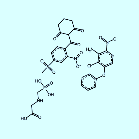 CS(=O)(=O)c1ccc(C(=O)C2C(=O)CCCC2=O)c([N+](=O)[O-])c1.Nc1c([N+](=O)[O-])ccc(Oc2ccccc2)c1Cl.O=C(O)CNCP(=O)(O)O